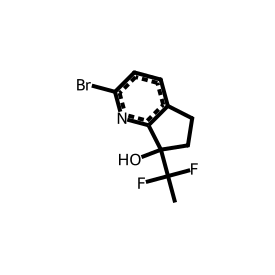 CC(F)(F)C1(O)CCc2ccc(Br)nc21